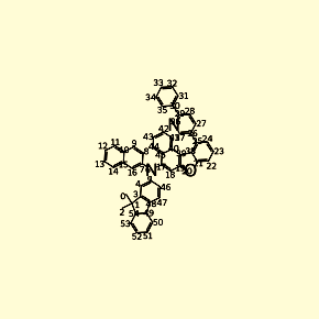 CC1(C)c2cc(N(c3ccc4ccccc4c3)c3cc4oc5cccc(-c6ccc(-c7ccccc7)nc6)c5c4c4ccccc34)ccc2C2C=CC=CC21